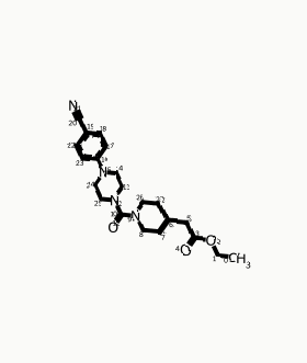 CCOC(=O)C[C]1[CH]CN(C(=O)N2CCN(c3ccc(C#N)cc3)CC2)CC1